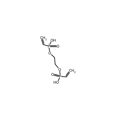 C=CP(=O)(O)OCCOP(=O)(O)C=C